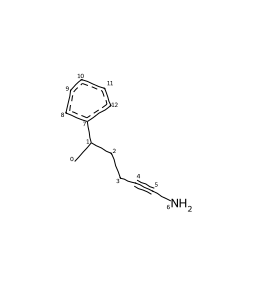 CC(CCC#CN)c1ccccc1